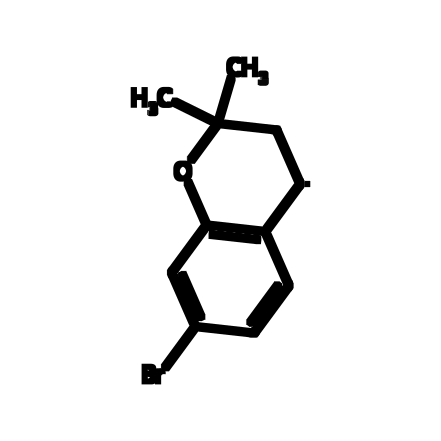 CC1(C)C[CH]c2ccc(Br)cc2O1